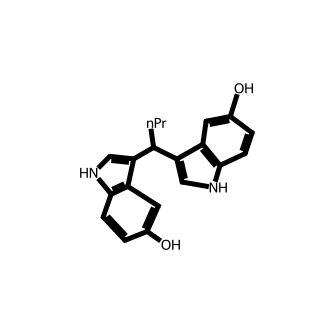 CCCC(c1c[nH]c2ccc(O)cc12)c1c[nH]c2ccc(O)cc12